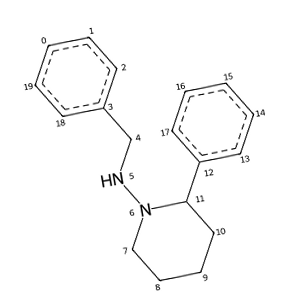 c1ccc(CNN2CCCCC2c2ccccc2)cc1